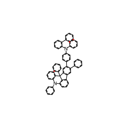 c1ccc(-c2cc3c(cc2-c2ccc(N(c4ccccc4)c4ccccc4-c4ccccc4)cc2)C2(c4ccccc4)c4ccccc4N(c4ccccc4)c4cccc-3c42)cc1